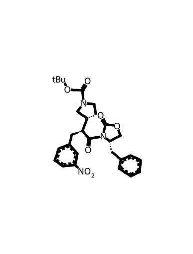 CC(C)(C)OC(=O)N1CC[C@H]([C@H](Cc2cccc([N+](=O)[O-])c2)C(=O)N2C(=O)OC[C@@H]2Cc2ccccc2)C1